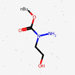 CCCCOC(=O)N(N)CCO